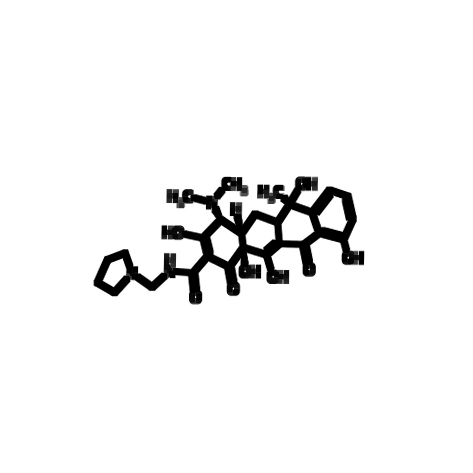 CN(C)[C@@H]1C(O)=C(C(=O)NCN2CCCC2)C(=O)[C@@]2(O)C(O)=C3C(=O)c4c(O)cccc4[C@@](C)(O)C3C[C@@H]12